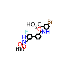 CC(C)(C)OC(=O)NCc1cc(F)cc(-c2cccc(C(=O)Nc3ccc(Br)cc3CC(=O)O)c2)c1